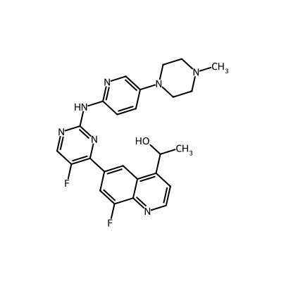 CC(O)c1ccnc2c(F)cc(-c3nc(Nc4ccc(N5CCN(C)CC5)cn4)ncc3F)cc12